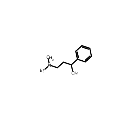 CCN(C)CCC(O)c1ccccc1